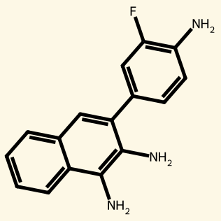 Nc1ccc(-c2cc3ccccc3c(N)c2N)cc1F